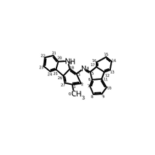 Cc1cc(N=C2c3ccccc3-c3ccccc32)c2[nH]c3ccccc3c2c1